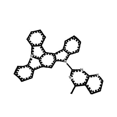 Cc1nc(-n2c3ccccc3c3c4c5ccccc5n5c6ccccc6c(cc32)c45)nc2ncccc12